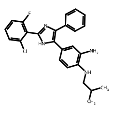 CC(C)CNc1ccc(-c2[nH]c(-c3c(F)cccc3Cl)nc2-c2ccccc2)cc1N